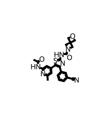 CC(=O)Nc1cc(-c2sc(NC(=O)N3CC4(COC4)C3)nc2-c2cccc(C#N)c2)cc(C)n1